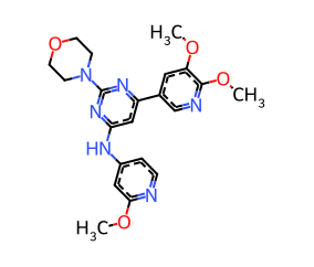 COc1cc(Nc2cc(-c3cnc(OC)c(OC)c3)nc(N3CCOCC3)n2)ccn1